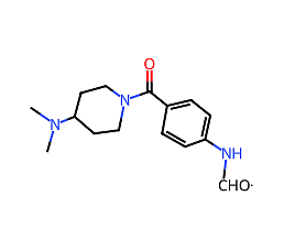 CN(C)C1CCN(C(=O)c2ccc(N[C]=O)cc2)CC1